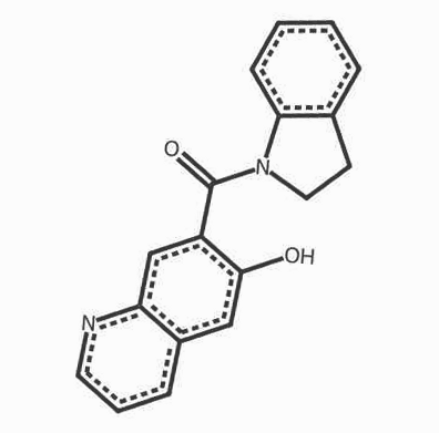 O=C(c1cc2ncccc2cc1O)N1CCc2ccccc21